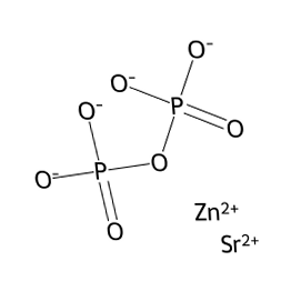 O=P([O-])([O-])OP(=O)([O-])[O-].[Sr+2].[Zn+2]